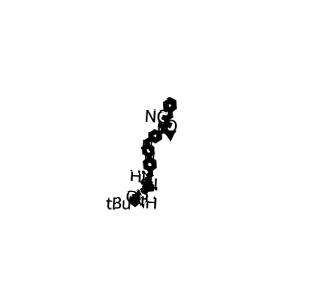 CN(C(=O)/C(C#N)=C/c1ccccc1)C(c1ccc(CN2CCC(N3CCC(CNc4ncc(SCC5NC=C(C(C)(C)C)O5)s4)CC3)CC2)cc1)C1CC1